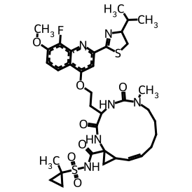 COc1ccc2c(OCCC3NC(=O)N(C)CCCC/C=C\C4CC4(C(=O)NS(=O)(=O)C4(C)CC4)NC3=O)cc(C3=NC(C(C)C)CS3)nc2c1F